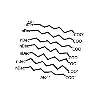 CCCCCCCCCCCCCCCCCC(=O)[O-].CCCCCCCCCCCCCCCCCC(=O)[O-].CCCCCCCCCCCCCCCCCC(=O)[O-].CCCCCCCCCCCCCCCCCC(=O)[O-].CCCCCCCCCCCCCCCCCC(=O)[O-].CCCCCCCCCCCCCCCCCC(=O)[O-].CCCCCCCCCCCCCCCCCC(=O)[O-].[Al+3].[Mo+4]